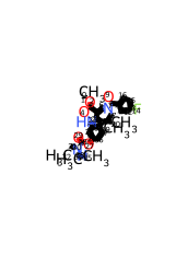 CCOC(=O)C1=CN(C(=O)c2ccc(F)cc2)CC(C)(C)c2c1[nH]c1cc(OC(=O)N(CC)N(C)C)ccc21